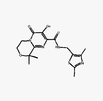 Cc1nc(C)c(CNC(=O)c2nc3n(c(=O)c2O)CCOC3(C)C)s1